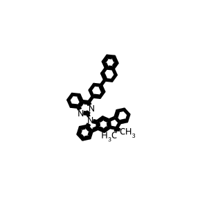 CC1(C)C2=CCCC=C2c2cc3c(cc21)c1ccccc1n3-c1nc(C2=CC=C(C3=Cc4ccccc4CC3)CC2)c2c(n1)=CCCC=2